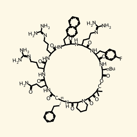 CCCCC1NC(=O)C(Cc2ccc(F)cc2)NC(=O)C(CCCN=C(N)N)NC(=O)C(Cc2ccc3ccccc3c2)NC(=O)C(CCCN=C(N)N)NC(=O)C(CCCN=C(N)N)NC(=O)C(CCC(N)=O)NC(=O)C[C@@H](CCc2ccccc2)NC(=O)C2CCCCN2C(=O)C(=O)C(C)(C)COC1=O